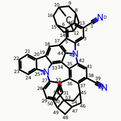 N#Cc1cc2c(c3c1C1CC4CC(C1)CC3C4)c1cc3c4ccccc4n(-c4ccccc4)c3c3c4c5c(c(C#N)cc4n2c13)C1CC2CC3CC5CC23C1